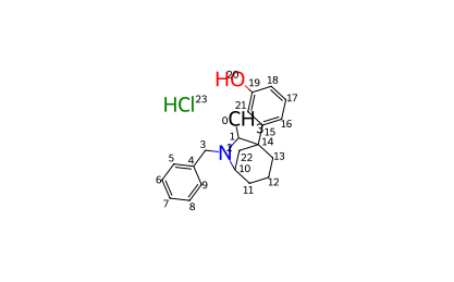 CC1N(Cc2ccccc2)C2CCCC1(c1cccc(O)c1)C2.Cl